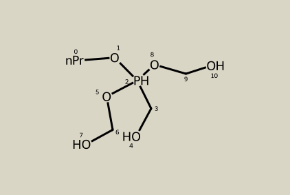 CCCO[PH](CO)(OCO)OCO